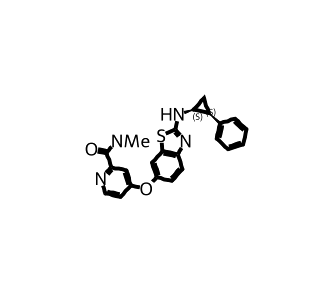 CNC(=O)c1cc(Oc2ccc3nc(N[C@H]4C[C@H]4c4ccccc4)sc3c2)ccn1